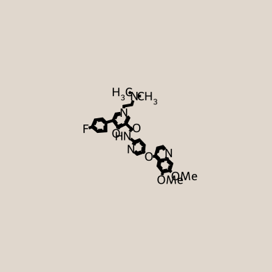 COc1cc2nccc(Oc3ccc(NC(=O)c4cn(CCN(C)C)cc(-c5ccc(F)cc5)c4=O)nc3)c2cc1OC